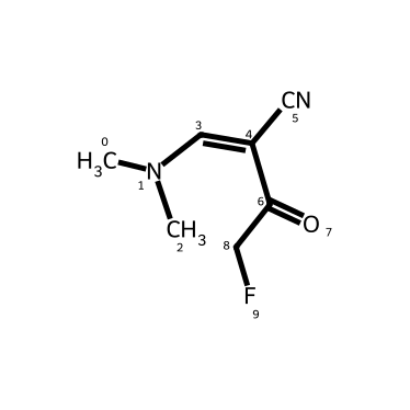 CN(C)/C=C(/C#N)C(=O)CF